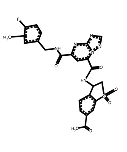 CC(=O)c1ccc2c(c1)S(=O)(=O)CC2NC(=O)c1cc(C(=O)NCc2ccc(F)c(C)c2)nc2ncnn12